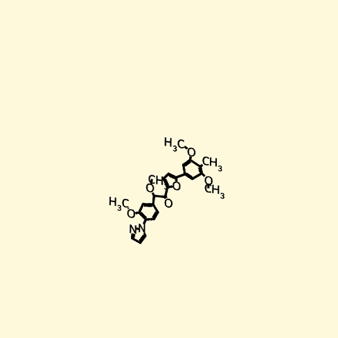 COc1cc(C(OC)C(=O)c2ccc(-c3cc(OC)c(C)c(OC)c3)o2)ccc1-n1cccn1